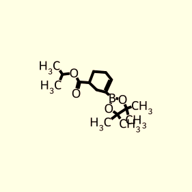 CC(C)OC(=O)C1CCC=C(B2OC(C)(C)C(C)(C)O2)C1